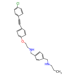 CCCNCc1ccc(CNCCOc2ccc(C#Cc3ccc(Cl)cc3)cc2)cc1